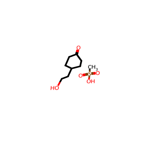 CS(=O)(=O)O.O=C1CCC(CCO)CC1